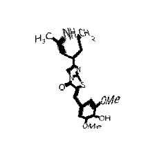 C=C/C=C(\C=C(\C)N)c1cn2c(=O)/c(=C/c3cc(OC)c(O)c(OC)c3)sc2n1